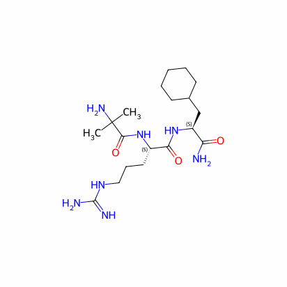 CC(C)(N)C(=O)N[C@@H](CCCNC(=N)N)C(=O)N[C@@H](CC1CCCCC1)C(N)=O